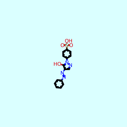 O=S(=O)(O)c1ccc(-n2ncc(/N=N/c3ccccc3)c2O)cc1